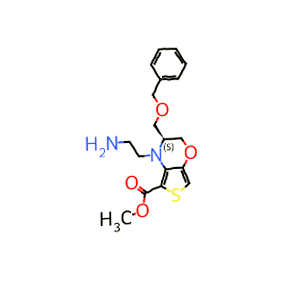 COC(=O)c1scc2c1N(CCN)[C@@H](COCc1ccccc1)CO2